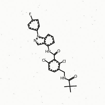 CC(C)(C)C(=O)NCc1ccc(Cl)c(C(=O)Nc2cccc3c2cnn3-c2ccc(F)cc2)c1Cl